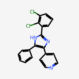 Clc1cccc(-c2nc(-c3ccncc3)c(-c3ccccc3)[nH]2)c1Cl